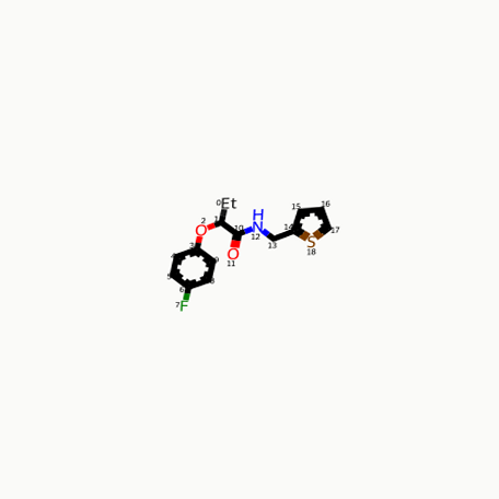 CCC(Oc1ccc(F)cc1)C(=O)NCc1cccs1